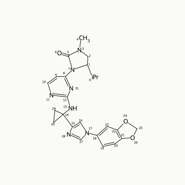 CC(C)C1CN(C)C(=O)N1c1ccnc(NC2(c3cn(-c4ccc5c(c4)OCO5)cn3)CC2)n1